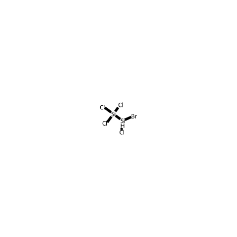 Cl[SiH](Br)[Si](Cl)(Cl)Cl